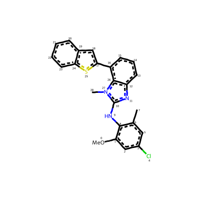 COc1cc(Cl)cc(C)c1Nc1nc2cccc(-c3cc4ccccc4s3)c2n1C